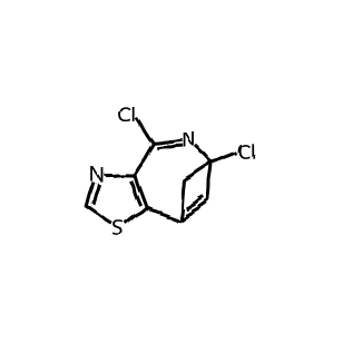 ClC1=NC2(Cl)C=C(C2)c2scnc21